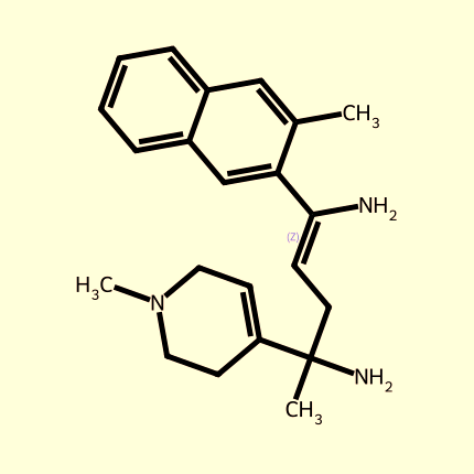 Cc1cc2ccccc2cc1/C(N)=C/CC(C)(N)C1=CCN(C)CC1